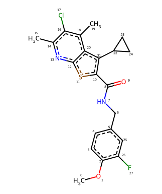 COc1ccc(CNC(=O)c2sc3nc(C)c(Cl)c(C)c3c2C2CC2)cc1F